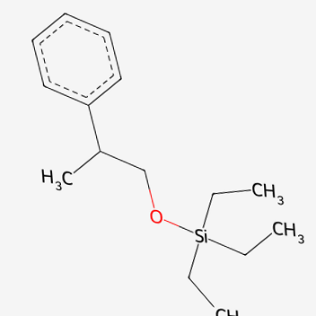 CC[Si](CC)(CC)OCC(C)c1ccccc1